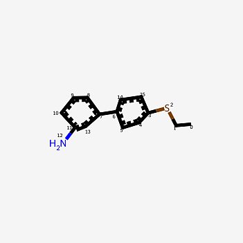 CCSc1ccc(-c2cccc(N)c2)cc1